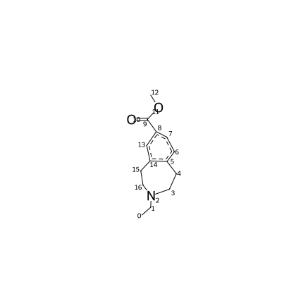 CCN1CCc2ccc(C(=O)OC)cc2CC1